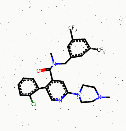 CN1CCN(c2cc(C(=O)N(C)Cc3cc(C(F)(F)F)cc(C(F)(F)F)c3)c(-c3ccccc3Cl)cn2)CC1